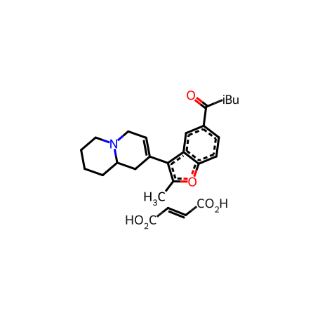 CCC(C)C(=O)c1ccc2oc(C)c(C3=CCN4CCCCC4C3)c2c1.O=C(O)C=CC(=O)O